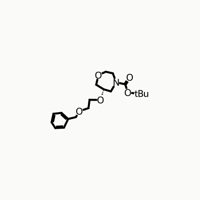 CC(C)(C)OC(=O)N1CCOC[C@@H](OCCOCc2ccccc2)C1